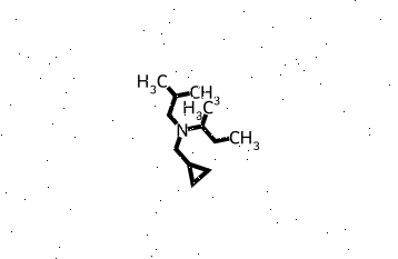 CCC(C)N(CC(C)C)CC1CC1